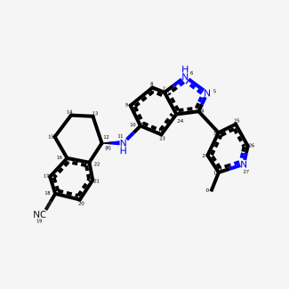 Cc1cc(-c2n[nH]c3ccc(N[C@@H]4CCCc5cc(C#N)ccc54)cc23)ccn1